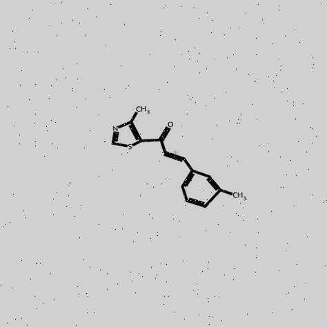 Cc1cccc(/C=C/C(=O)c2scnc2C)c1